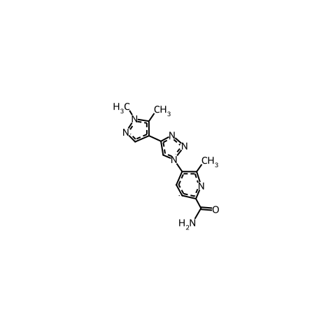 Cc1nc(C(N)=O)[c]cc1-n1cc(-c2cnn(C)c2C)nn1